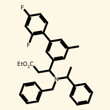 CCOC(=O)CC(c1cc(C)cc(-c2ccc(F)cc2F)c1)N(Cc1ccccc1)C(C)c1ccccc1